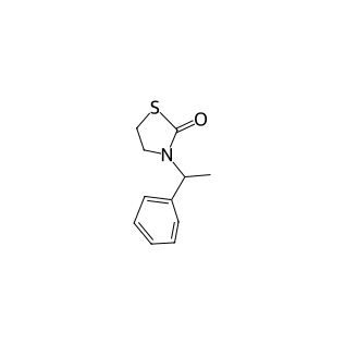 CC(c1ccccc1)N1CCSC1=O